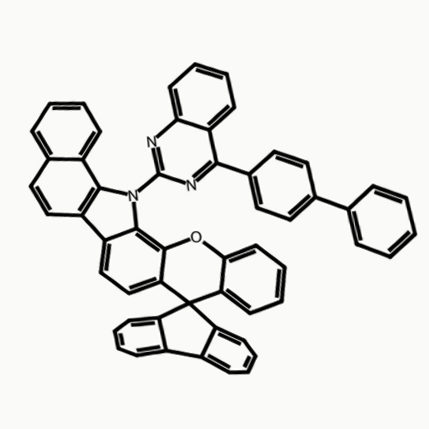 c1ccc(-c2ccc(-c3nc(-n4c5c6c(ccc5c5ccc7ccccc7c54)C4(c5ccccc5O6)c5ccccc5-c5ccccc54)nc4ccccc34)cc2)cc1